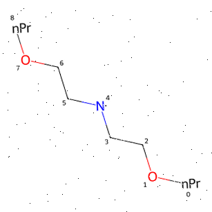 CCCOCC[N]CCOCCC